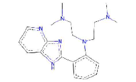 CN(C)CCN(CCN(C)C)c1ccccc1-c1nc2ncccc2[nH]1